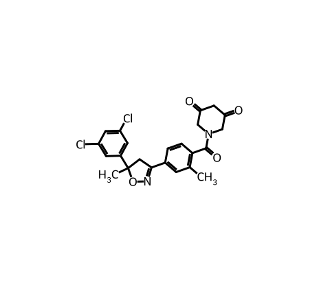 Cc1cc(C2=NOC(C)(c3cc(Cl)cc(Cl)c3)C2)ccc1C(=O)N1CC(=O)CC(=O)C1